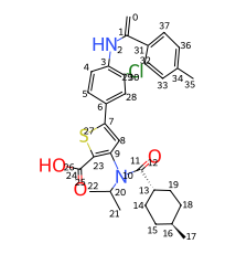 C=C(Nc1ccc(-c2cc(N(C(=O)[C@H]3CC[C@H](C)CC3)C(C)C)c(C(=O)O)s2)cc1Cl)c1ccc(C)cc1